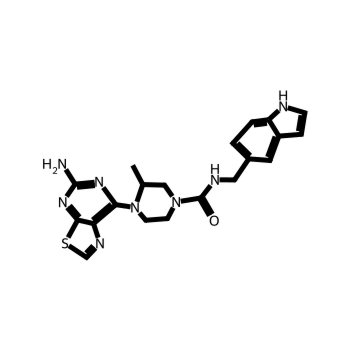 CC1CN(C(=O)NCc2ccc3[nH]ccc3c2)CCN1c1nc(N)nc2scnc12